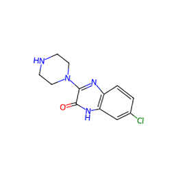 O=c1[nH]c2cc(Cl)ccc2nc1N1CCNCC1